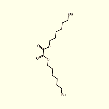 CCC(C)CCCCCCOC(=O)C(=O)OCCCCCCC(C)CC